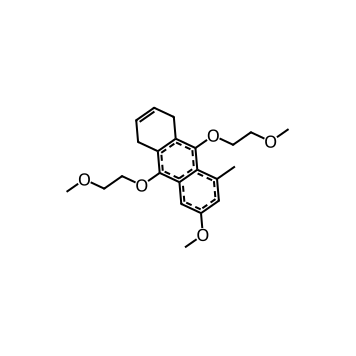 COCCOc1c2c(c(OCCOC)c3c(C)cc(OC)cc13)CC=CC2